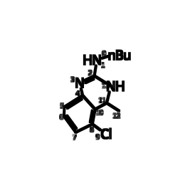 CCCCNC1=Nc2cccc(Cl)c2C(C)N1